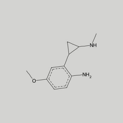 CNC1CC1c1cc(OC)ccc1N